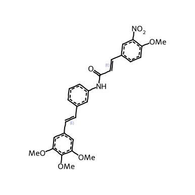 COc1ccc(/C=C/C(=O)Nc2cccc(/C=C/c3cc(OC)c(OC)c(OC)c3)c2)cc1[N+](=O)[O-]